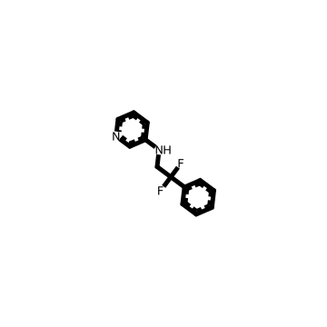 FC(F)(CNc1cccnc1)c1ccccc1